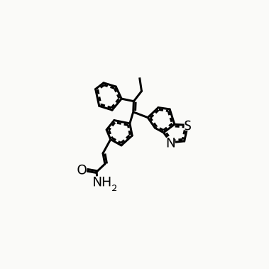 CC/C(=C(/c1ccc(/C=C/C(N)=O)cc1)c1ccc2scnc2c1)c1ccccc1